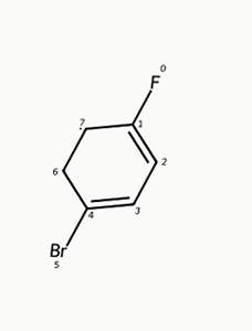 FC1=CC=C(Br)C[CH]1